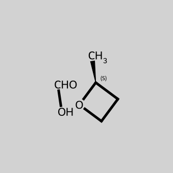 C[C@H]1CCO1.O=CO